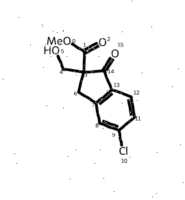 COC(=O)C1(CO)Cc2cc(Cl)ccc2C1=O